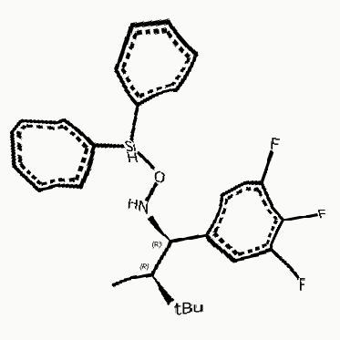 C[C@@H]([C@@H](NO[SiH](c1ccccc1)c1ccccc1)c1cc(F)c(F)c(F)c1)C(C)(C)C